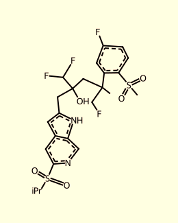 CC(C)S(=O)(=O)c1cc2cc(CC(O)(CC(C)(CF)c3cc(F)ccc3S(C)(=O)=O)C(F)F)[nH]c2cn1